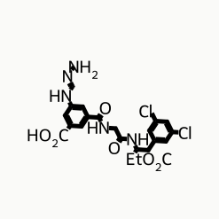 CCOC(=O)C(Cc1cc(Cl)cc(Cl)c1)NC(=O)CNC(=O)c1cc(NC=NN)cc(C(=O)O)c1